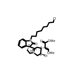 CC[C@H]1CN2CC[C@]3(C(=O)N(CCCCCCCCCl)c4ccccc43)[C@@H]2C[C@@H]1/C(=C\OC)C(=O)OC